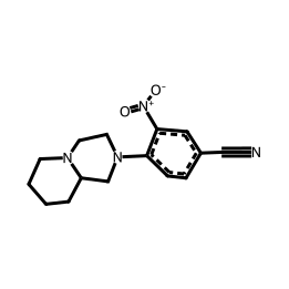 N#Cc1ccc(N2CCN3CCCCC3C2)c([N+](=O)[O-])c1